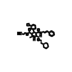 CC1=C(C(=O)OCCC#N)C(c2cccc(Cl)c2)C(C(=O)NCC=Cc2ccccc2)=C(COCCC2CCCCC2)N1